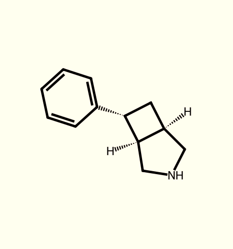 c1ccc([C@@H]2C[C@H]3CNC[C@H]32)cc1